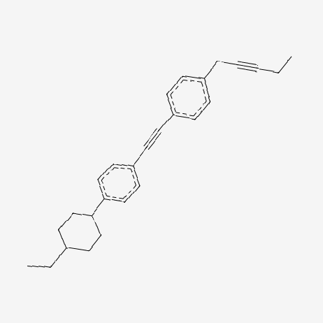 CCC#CCc1ccc(C#Cc2ccc(C3CCC(CC)CC3)cc2)cc1